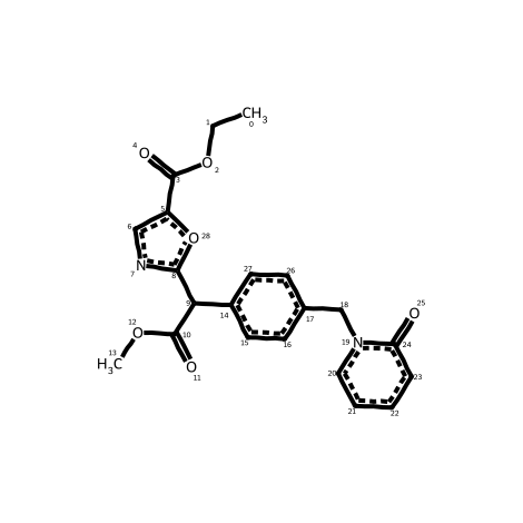 CCOC(=O)c1cnc(C(C(=O)OC)c2ccc(Cn3ccccc3=O)cc2)o1